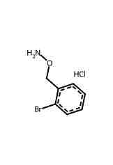 Cl.NOCc1ccccc1Br